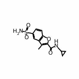 Cc1c(C(=O)NC2CC2)oc2ccc(S(N)(=O)=O)cc12